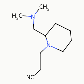 CN(C)CC1CCCCN1CCC#N